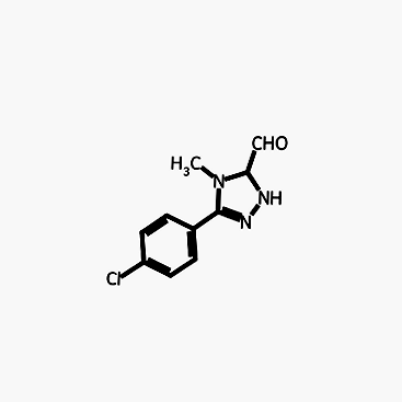 CN1C(c2ccc(Cl)cc2)=NNC1C=O